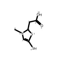 CN1C=C(S)SC1CC(=O)O